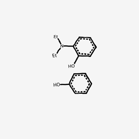 CCN(CC)c1ccccc1O.Oc1ccccc1